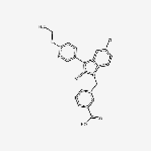 CCOc1ccc(-n2c(=O)n(Cc3cccc(C(=O)O)c3)c3ccc(Cl)cc32)cn1